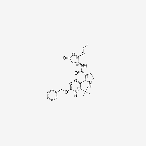 CCO[C@@H]1OC(=O)C[C@@H]1NC(=O)[C@H]1CCNC1C(=O)[C@@H](NC(=O)OCc1ccccc1)C(C)(C)C